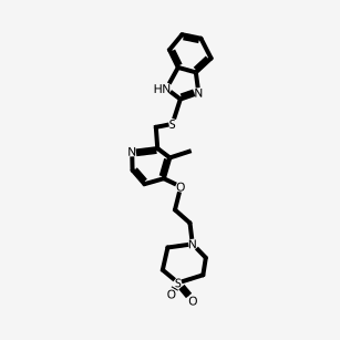 Cc1c(OCCN2CCS(=O)(=O)CC2)ccnc1CSc1nc2ccccc2[nH]1